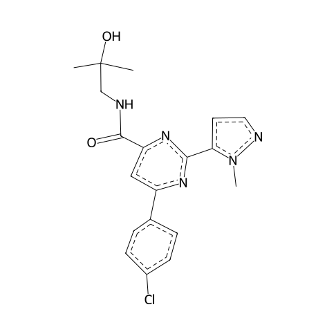 Cn1nccc1-c1nc(C(=O)NCC(C)(C)O)cc(-c2ccc(Cl)cc2)n1